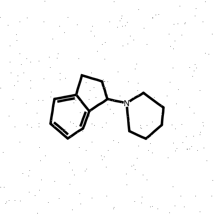 [CH]1Cc2ccccc2C1N1CCCCC1